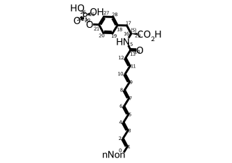 CCCCCCCCCC=CC=CC=CC=CC=CC=CC(=O)N[C@@H](Cc1ccc(OP(=O)(O)O)cc1)C(=O)O